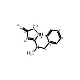 CN(Cc1ccccc1)c1nc(=O)[nH][nH]1